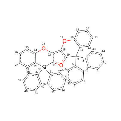 c1ccc(C2(c3ccccc3)c3ccccc3Oc3c2oc2c3Oc3ccccc3[Si]2(c2ccccc2)c2ccccc2)cc1